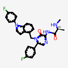 CN[C@@H](C)C(=O)Nc1ncc(-c2ccc(F)cc2)n(Cc2cccc3c2ccn3-c2ccc(F)cc2)c1=O